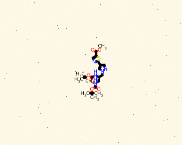 COC(=O)c1cnc(-c2cnn(CC(CNC(=O)OC(C)(C)C)NC(=O)OC(C)(C)C)c2)s1